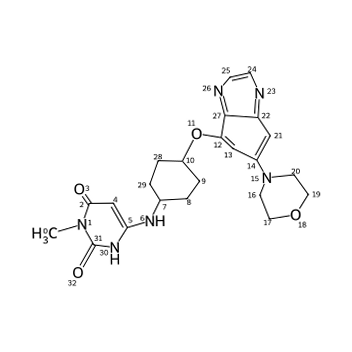 Cn1c(=O)cc(NC2CCC(Oc3cc(N4CCOCC4)cc4nccnc34)CC2)[nH]c1=O